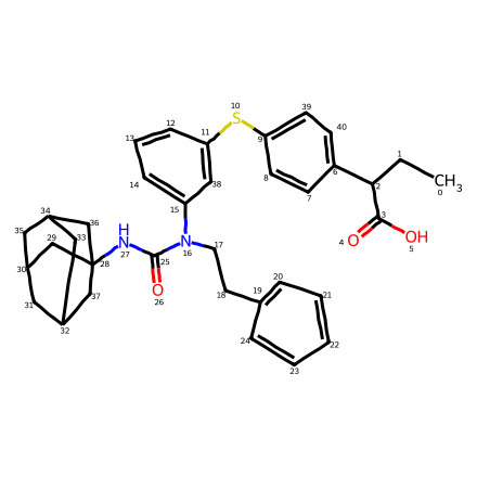 CCC(C(=O)O)c1ccc(Sc2cccc(N(CCc3ccccc3)C(=O)NC34CC5CC(CC(C5)C3)C4)c2)cc1